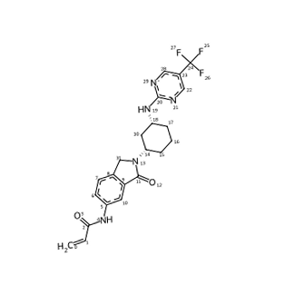 C=CC(=O)Nc1ccc2c(c1)C(=O)N([C@H]1CCC[C@@H](Nc3ncc(C(F)(F)F)cn3)C1)C2